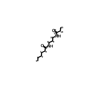 CCCCCC(=O)NCCCNC(=O)CC